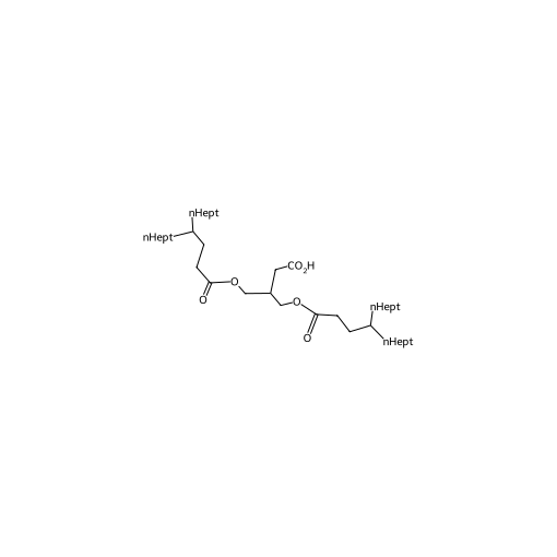 CCCCCCCC(CCCCCCC)CCC(=O)OCC(COC(=O)CCC(CCCCCCC)CCCCCCC)CC(=O)O